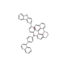 c1ccc(N(c2ccc(-c3ccc4oc5ccccc5c4c3)cc2)c2ccc(-c3cccc4ccccc34)cc2)c(-c2cccc3cccc(C4CCCCC4)c23)c1